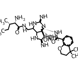 CC[C@H](C)[C@H](N)C(=O)NCC1NC(=N)N2C[C@H](NC(=O)c3cccc4c3OCCC4(C)C)[C@](C)(O)C23C1NC(=N)N3O